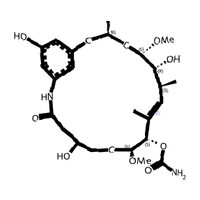 CO[C@H]1C[C@H](C)Cc2cc(O)cc(c2)NC(=O)CC(O)CC[C@H](OC)[C@@H](OC(N)=O)/C(C)=C/[C@H](C)[C@H]1O